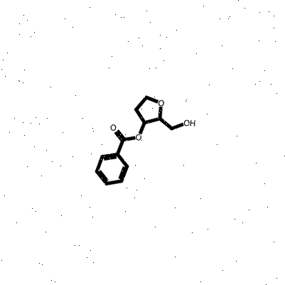 O=C(OC1CCOC1CO)c1ccccc1